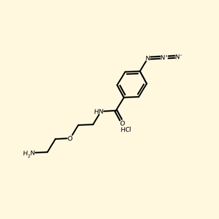 Cl.[N-]=[N+]=Nc1ccc(C(=O)NCCOCCN)cc1